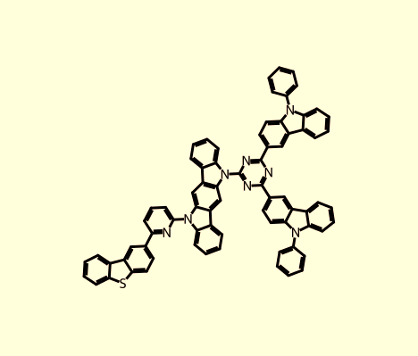 c1ccc(-n2c3ccccc3c3cc(-c4nc(-c5ccc6c(c5)c5ccccc5n6-c5ccccc5)nc(-n5c6ccccc6c6cc7c(cc65)c5ccccc5n7-c5cccc(-c6ccc7sc8ccccc8c7c6)n5)n4)ccc32)cc1